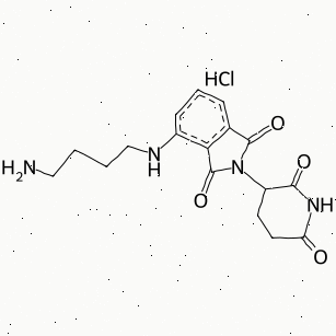 Cl.NCCCCNc1cccc2c1C(=O)N(C1CCC(=O)NC1=O)C2=O